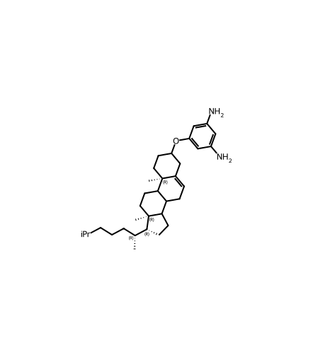 CC(C)CCC[C@@H](C)[C@H]1CCC2C3CC=C4CC(Oc5cc(N)cc(N)c5)CC[C@]4(C)C3CC[C@@]21C